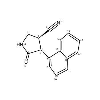 N#C[C@@H]1CNC(=O)N1c1cncc2ccccc12